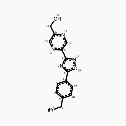 CC(C)Cc1ccc(-c2nc(-c3cnc(CO)cn3)no2)cc1